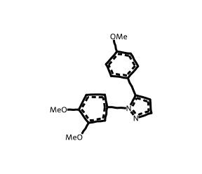 COc1ccc(-c2ccnn2-c2ccc(OC)c(OC)c2)cc1